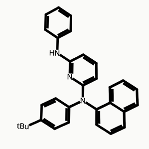 CC(C)(C)c1ccc(N(c2cccc(Nc3ccccc3)n2)c2cccc3ccccc23)cc1